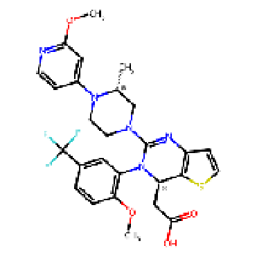 COc1cc(N2CCN(C3=Nc4ccsc4[C@@H](CC(=O)O)N3c3cc(C(F)(F)F)ccc3OC)C[C@H]2C)ccn1